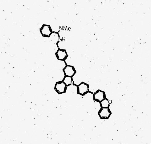 CN[C@@H](NCc1ccc(C2C=CC3C(C2)c2ccccc2N3C2=CC=C(c3ccc4oc5ccccc5c4c3)CC2)cc1)c1ccccc1